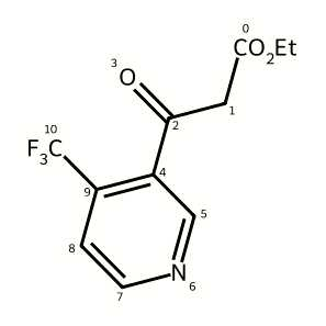 CCOC(=O)CC(=O)c1cnccc1C(F)(F)F